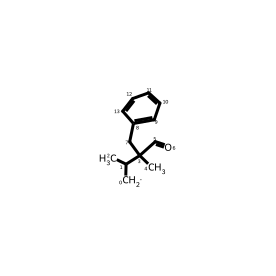 [CH2]C(C)C(C)(C=O)Cc1ccccc1